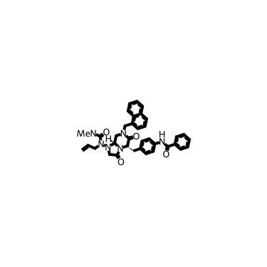 C=CCN(C(=O)NC)N1CC(=O)N2[C@@H](Cc3ccc(NC(=O)c4ccccc4)cc3)C(=O)N(Cc3cccc4ccccc34)C[C@@H]21